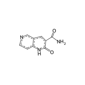 NC(=O)c1cc2cnccc2[nH]c1=O